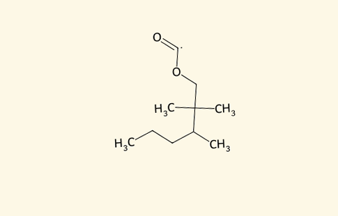 CCCC(C)C(C)(C)CO[C]=O